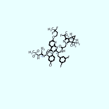 C/C(=N\N(C)c1cc(Cl)ccc1-n1c([C@H](Cc2cc(F)cc(F)c2)NC(=O)Cn2nc(C(C)F)c3c2C(C)(P)[C@@H]2C[C@H]32)nc2nc(OCCC(C)(F)F)ccc2c1=O)NS(C)(=O)=O